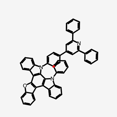 c1ccc(-c2cc(-c3ccc(-n4c5ccccc5c5c6oc7ccccc7c6c6c7ccccc7n(-c7ccccc7)c6c54)cc3)cc(-c3ccccc3)n2)cc1